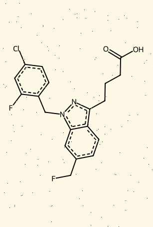 O=C(O)CCCc1nn(Cc2ccc(Cl)cc2F)c2cc(CF)ccc12